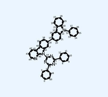 c1ccc(-c2nc(-c3ccccc3)nc(-n3c4cc(-c5ccc6c(c5)c5ccccc5n6-c5ccccc5)ccc4c4cccnc43)n2)cc1